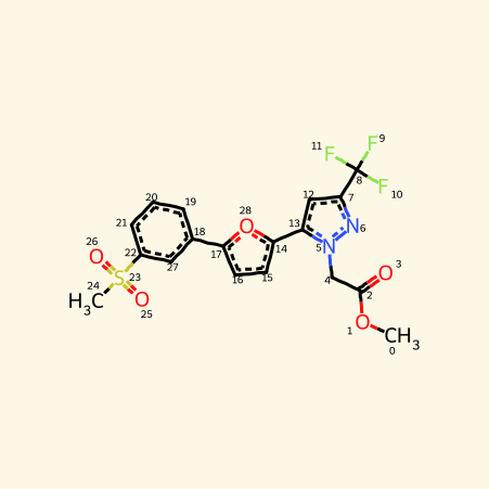 COC(=O)Cn1nc(C(F)(F)F)cc1-c1ccc(-c2cccc(S(C)(=O)=O)c2)o1